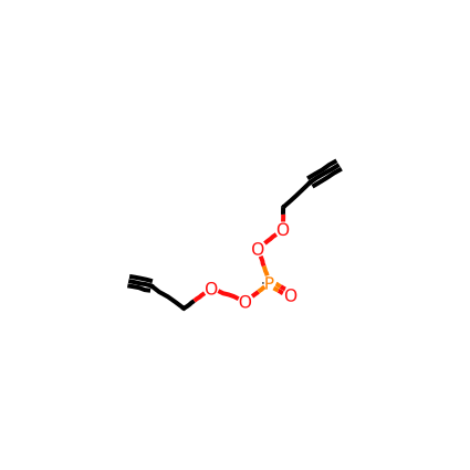 C#CCOO[P](=O)OOCC#C